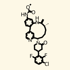 C=C1Nc2cc(NC(=O)OC)ccc2-c2ccnc(c2)[C@@H](N2CCC(c3c(F)ccc(Cl)c3F)CC2=O)CCC[C@H]1C